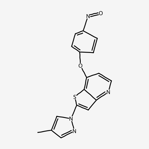 Cc1cnn(-c2cc3nccc(Oc4ccc(N=O)cc4)c3s2)c1